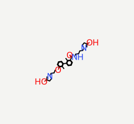 Cc1c(OCCCN2CCC(O)C2)cccc1-c1cccc(C(=O)NCCCCN2CCC(O)C2)c1C